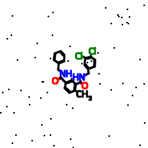 Cc1ccc(C(=O)NCc2ccccc2)cc1C(=O)NCc1ccc(Cl)c(Cl)c1